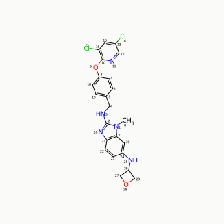 Cn1c(NCc2ccc(Oc3ncc(Cl)cc3Cl)cc2)nc2ccc(NC3COC3)cc21